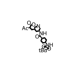 CC(=O)c1cc2cc(NC(=O)c3ccc(NS(=O)(=O)C(C)(C)C)cc3)cnc2oc1=O